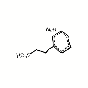 O=S(=O)(O)CCc1ccccc1.[NaH]